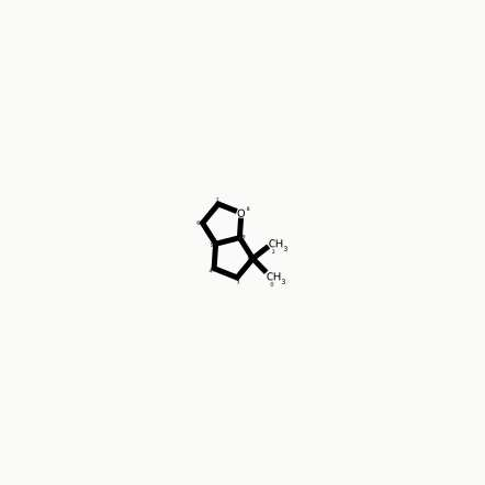 CC1(C)CCC2CCOC21